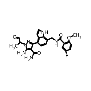 COc1ccc(F)cc1C(=O)NCc1ccc(-c2nn(C(C)C=O)c(N)c2C(N)=O)c2cc[nH]c12